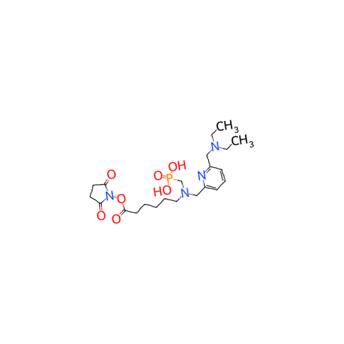 CCN(CC)Cc1cccc(CN(CCCCCC(=O)ON2C(=O)CCC2=O)CP(=O)(O)O)n1